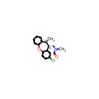 C[C@@H]1c2ccccc2Oc2ccc(Cl)cc2[C@H]1CN(C)C=O